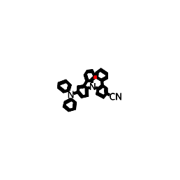 N#Cc1ccc(-n2c3ccccc3c3cc(N(c4ccccc4)c4ccccc4)ccc32)c(-c2ccccc2)c1